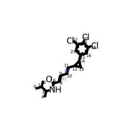 CC(C)C(C)NC(=O)/C=C/C=C/C1CC1c1cc(Cl)c(Cl)c(Cl)c1